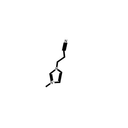 C[n+]1ccn(CCC#N)c1